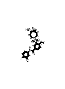 O=C(Nc1ccc(F)c(Cl)c1)c1ccc(CF)c(S(=O)(=O)N2CCC(O)C(F)(F)CC2)c1